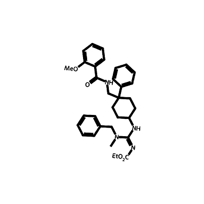 CCOC(=O)N=C(NC1CCC(CNC(=O)c2ccccc2OC)(c2ccccc2)CC1)N(C)Cc1ccccc1